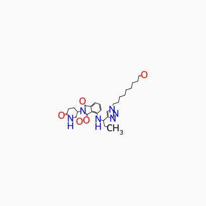 CCC(Nc1cccc2c1C(=O)N(C1CCC(=O)NC1=O)C2=O)c1cn(CCCCCCCCC=O)nn1